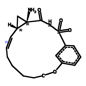 N[C@]12C[C@H]1/C=C\CCCCCOc1cccc(c1)S(=O)(=O)NC2=O